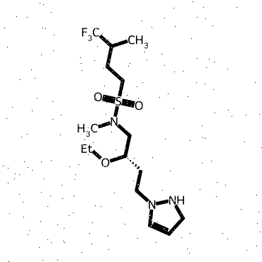 CCO[C@@H](CCN1C=CCN1)CN(C)S(=O)(=O)CCC(C)C(F)(F)F